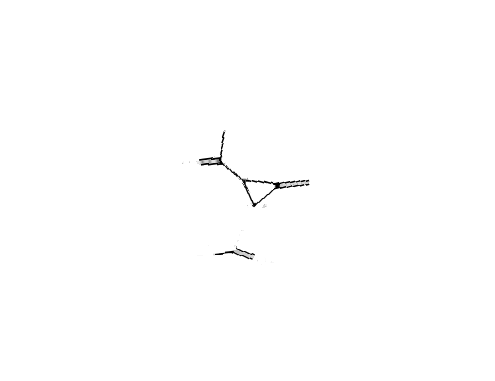 C=C1C(C(=O)O)[C@H]1C(=O)O